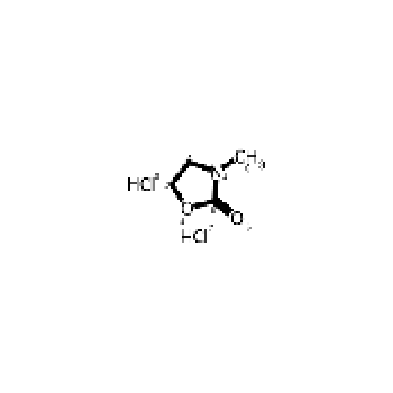 CN1CCOC1=O.Cl.Cl